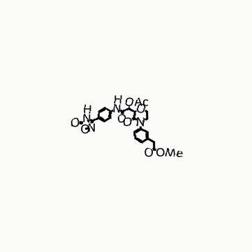 COC(=O)Cc1cccc(N2CCO[C@H]([C@@H](OC(C)=O)C(=O)Nc3ccc(-c4noc(=O)[nH]4)cc3)C2=O)c1